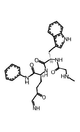 CNCC(=O)N[C@@H](Cc1c[nH]c2ccccc12)C(=O)N[C@@H](CCC(=O)C=N)C(=O)Nc1ccccc1